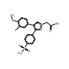 COc1ccc(-c2cn(CC(=O)O)nc2-c2ccc(S(C)(=O)=O)cc2)cc1F